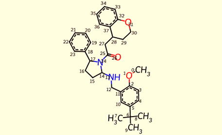 COc1ccc(C(C)(C)C)cc1CNC1CCC(c2ccccc2)N1C(=O)CC1CCOc2ccccc21